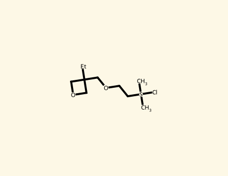 CCC1(COCCS(C)(C)Cl)COC1